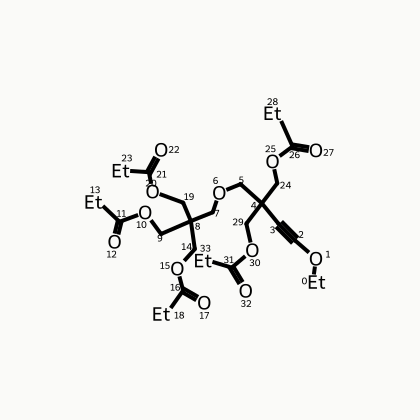 CCOC#CC(COCC(COC(=O)CC)(COC(=O)CC)COC(=O)CC)(COC(=O)CC)COC(=O)CC